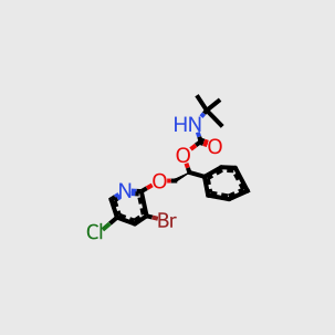 CC(C)(C)NC(=O)O[C@H](COc1ncc(Cl)cc1Br)c1ccccc1